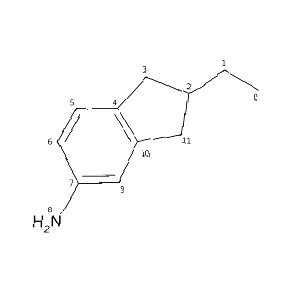 CCC1Cc2ccc(N)cc2C1